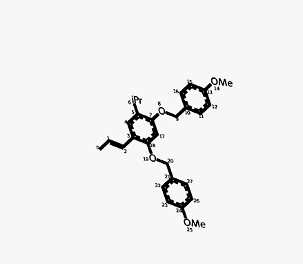 CC=Cc1cc(C(C)C)c(OCc2ccc(OC)cc2)cc1OCc1ccc(OC)cc1